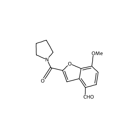 COc1ccc(C=O)c2cc(C(=O)N3CCCC3)oc12